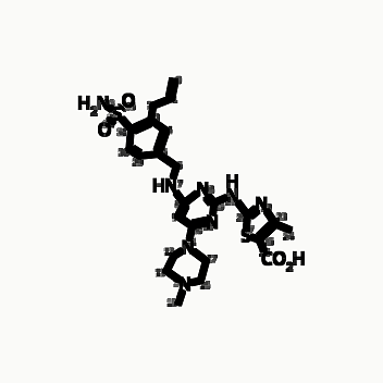 C=CCc1cc(CNc2cc(N3CCN(C)CC3)nc(Nc3nc(C)c(C(=O)O)s3)n2)ccc1S(N)(=O)=O